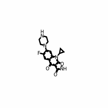 O=c1[nH]oc2c1c(=O)c1cc(F)c(N3CCNCC3)cc1n2C1CC1